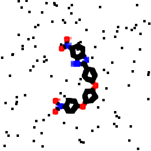 O=[N+]([O-])c1ccc(Oc2ccc(Oc3ccc(-c4nc5ccc([N+](=O)[O-])cc5[nH]4)cc3)cc2)cc1